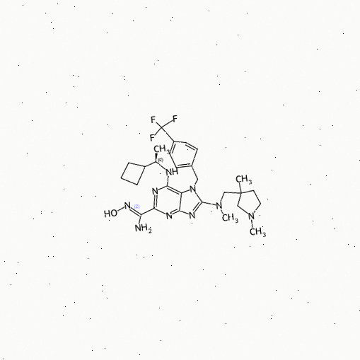 C[C@@H](Nc1nc(/C(N)=N/O)nc2nc(N(C)CC3(C)CCN(C)C3)n(Cc3ccc(C(F)(F)F)cc3)c12)C1CCC1